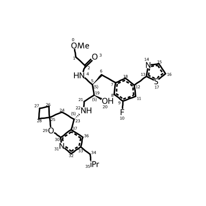 COCC(=O)N[C@@H](Cc1cc(F)cc(-c2nccs2)c1)[C@@H](O)CN[C@H]1CC2(CCC2)Oc2ncc(CC(C)C)cc21